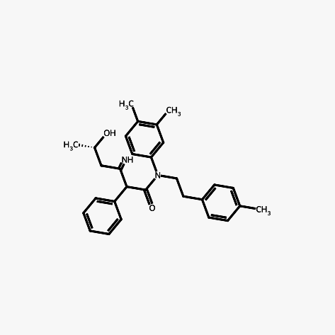 Cc1ccc(CCN(C(=O)C(C(=N)C[C@H](C)O)c2ccccc2)c2ccc(C)c(C)c2)cc1